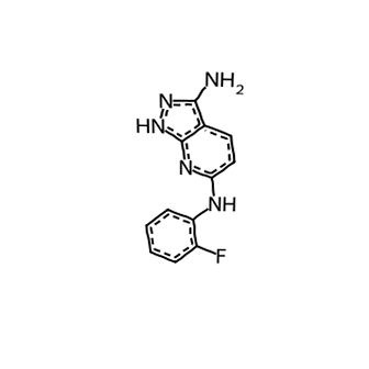 Nc1n[nH]c2nc(Nc3ccccc3F)ccc12